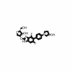 OC[C@H]1OC[C@@H](Oc2nc3c(F)c(-c4ccc(N5CC[C@@H](O)C5)cc4)c(F)cc3[nH]2)[C@@H]1O